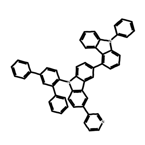 c1ccc(-c2ccc(-n3c4ccc(-c5cccnc5)cc4c4cc(-c5cccc6c5c5ccccc5n6-c5ccccc5)ccc43)c(-c3ccccc3)c2)cc1